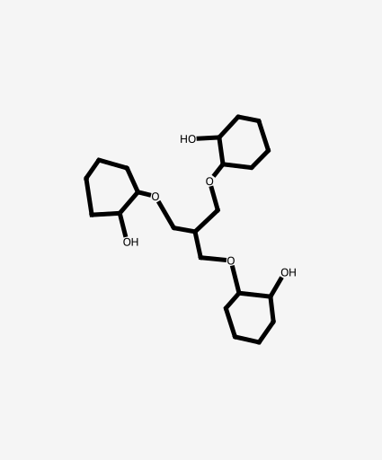 OC1CCCCC1OCC(COC1CCCCC1O)COC1CCCCC1O